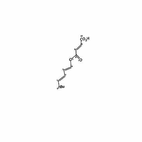 CCCCC=CC=COC(=O)/C=C/C(=O)O